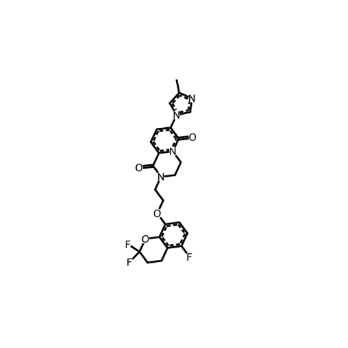 Cc1cn(-c2ccc3n(c2=O)CCN(CCOc2ccc(F)c4c2OC(F)(F)CC4)C3=O)cn1